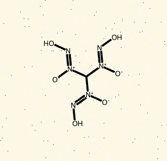 [O-][N+](=NO)C([N+]([O-])=NO)[N+]([O-])=NO